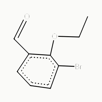 CCOc1c(Br)cccc1C=O